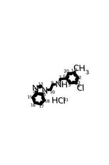 Cc1cc(Cl)cc(CNCCn2cnc3ccccc32)c1.Cl